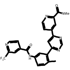 CNC(=O)c1cc(-c2cc(-c3cc(NC(=O)c4ccnc(C(F)(F)F)c4)ccc3C)ncn2)ccn1